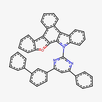 c1ccc(-c2cccc(-c3cc(-c4ccccc4)nc(-n4c5ccccc5c5c6ccccc6c6c7ccccc7oc6c54)n3)c2)cc1